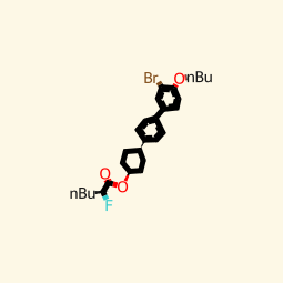 CCCCOc1ccc(-c2ccc([C@H]3CC[C@H](OC(=O)[C@@H](F)CCCC)CC3)cc2)cc1Br